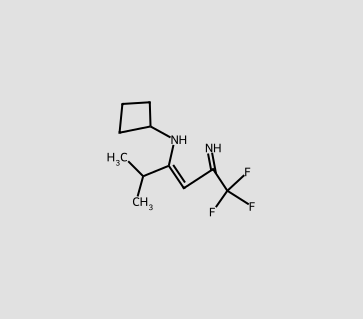 CC(C)/C(=C/C(=N)C(F)(F)F)NC1CCC1